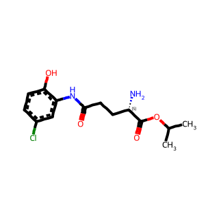 CC(C)OC(=O)[C@@H](N)CCC(=O)Nc1cc(Cl)ccc1O